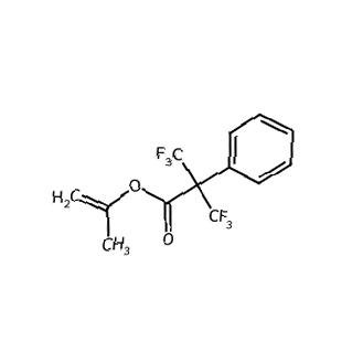 C=C(C)OC(=O)C(c1ccccc1)(C(F)(F)F)C(F)(F)F